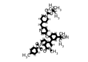 Cc1ccc(S(=O)(=O)n2ccc3c(-c4cc(C(C)(C)O)ccc4Oc4ccc(CC5CCN(C(=O)OC(C)(C)C)CC5)nc4)cn(C)c(=O)c32)cc1